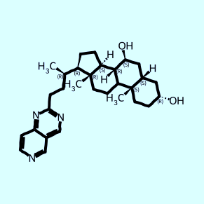 C[C@H](CCc1ncc2cnccc2n1)[C@H]1CC[C@H]2[C@H]3C(CC[C@]12C)[C@@]1(C)CC[C@@H](O)C[C@H]1C[C@@H]3O